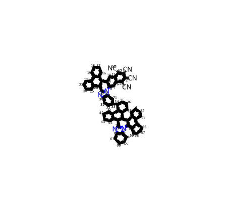 N#Cc1c(C#N)c(C#N)c2cc3c(cc2c1C#N)c1c2ccccc2c2ccccc2c1c1nc2ccc(-c4cccc5c4c4ccccc4c4c5c5c6ccccc6c6ccccc6c5n5c6ccccc6nc45)cc2n31